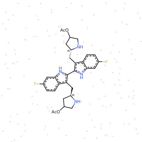 CC(=O)OC1CN[C@H](Cc2c(-c3[nH]c4cc(F)ccc4c3C[C@@H]3CC(OC(C)=O)CN3)[nH]c3cc(F)ccc23)C1